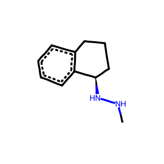 CNN[C@@H]1CCCc2ccccc21